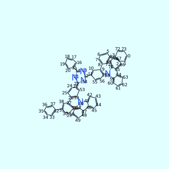 c1ccc(-c2cccc(-c3cc(-c4nc(-c5ccccc5)nc(-c5ccc(-c6cccc(-c7ccccc7)c6)c(-n6c7ccccc7c7ccccc76)c5)n4)ccc3-n3c4ccccc4c4ccccc43)c2)cc1